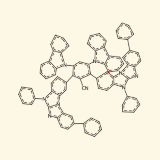 N#Cc1c(-c2ccc3c(c2)n2c4cc(-c5ccccc5)ccc4nc2n3-c2ccccc2)c(-n2c3ccccc3c3ccccc32)cc(-n2c3ccccc3c3ccccc32)c1-c1ccc2c(c1)n1c3cc(-c4ccccc4)ccc3nc1n2-c1ccccc1